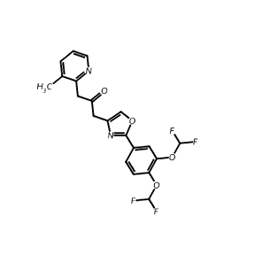 Cc1cccnc1CC(=O)Cc1coc(-c2ccc(OC(F)F)c(OC(F)F)c2)n1